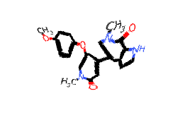 COc1ccc(Oc2cn(C)c(=O)cc2-c2cn(C)c(=O)c3[nH]ccc23)cc1